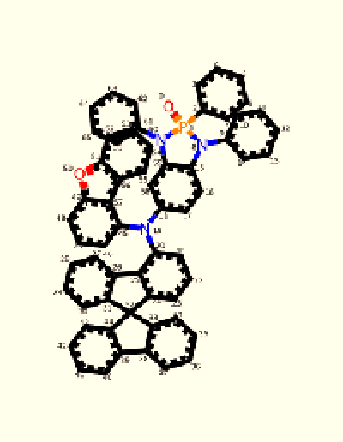 O=P1(c2ccccc2)N(c2ccccc2)c2ccc(N(c3cccc4c3-c3ccccc3C43c4ccccc4-c4ccccc43)c3cccc4oc5ccccc5c34)cc2N1c1ccccc1